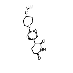 O=C1CCC(c2cnc(N3CCC(CO)CC3)nc2)C(=O)N1